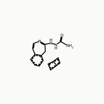 NC(=O)NNC1=NC=Cc2ccccc2C1.c1cc2ccc1-2